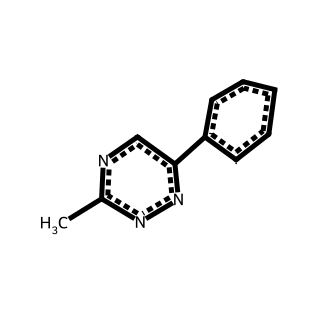 Cc1ncc(-c2[c]cccc2)nn1